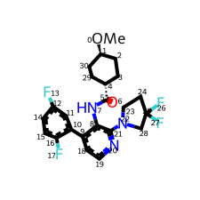 CO[C@H]1CC[C@H](C(=O)Nc2c(-c3cc(F)ccc3F)ccnc2N2CCC(F)(F)C2)CC1